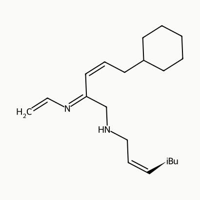 C=C/N=C(\C=C/CC1CCCCC1)CNC/C=C\[C@H](C)CC